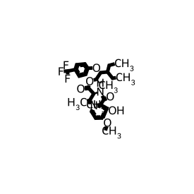 CCC(CC)[C@@H](Oc1ccc(C(F)(F)F)cc1)[C@H](C)OC(=O)[C@@H](NC(=O)c1nccc(OC)c1O)C(C)C